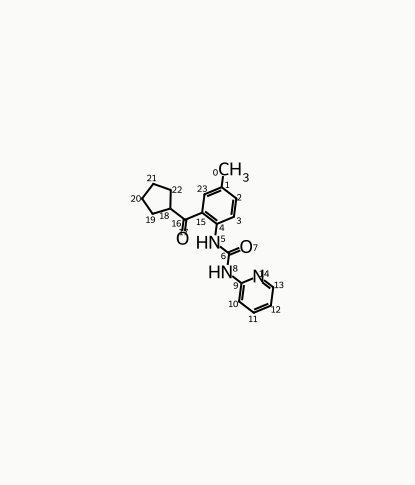 Cc1ccc(NC(=O)Nc2ccccn2)c(C(=O)C2CCCC2)c1